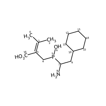 CC(C)=C(CP(O)C(N)CC1CCCCC1)C(=O)O